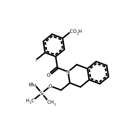 CC(C)(C)[Si](C)(C)OCC1Cc2ccccc2CN1C(=O)c1cc(C(=O)O)ccc1I